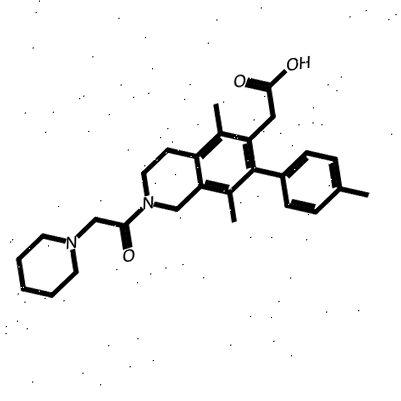 Cc1ccc(-c2c(C)c3c(c(C)c2CC(=O)O)CCN(C(=O)CN2CCCCC2)C3)cc1